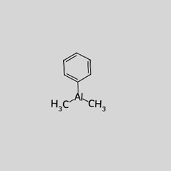 [CH3][Al]([CH3])[c]1ccccc1